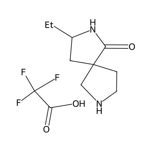 CCC1CC2(CCNC2)C(=O)N1.O=C(O)C(F)(F)F